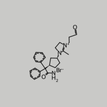 CC1=[N+](CCC=O)CCN1[C@H]1CC[C@@H](C(C(N)=O)(c2ccccc2)c2ccccc2)C1.[Br-]